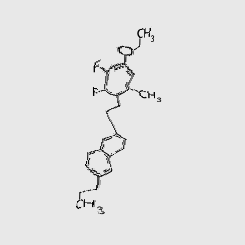 CCCc1ccc2cc(CCc3c(C)cc(OCC)c(F)c3F)ccc2c1